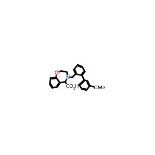 COc1cccc(-c2ccccc2CN2CCOc3ccccc3C2C(=O)O)c1